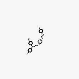 Cc1ccc(OCCN2CCN(CCCC(c3ccc(F)cc3)c3ccc(F)cc3)CC2)cc1